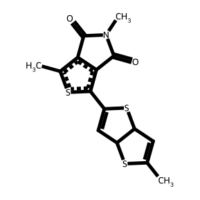 CC1=CC2SC(c3sc(C)c4c3C(=O)N(C)C4=O)=CC2S1